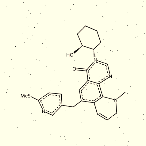 CSc1ccc(Cc2cc3c(=O)n([C@H]4CCCC[C@@H]4O)cnc3c3c2C=CCN3C)cn1